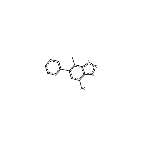 CC(=O)c1cc(-c2ccccc2)c(C)c2nsnc12